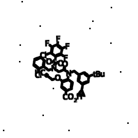 C#CCOc1cc(C(=O)O)ccc1N(Cc1cc(C2CC2)cc(C(C)(C)C)c1)C(=O)CN(Cc1ccccc1Cl)S(=O)(=O)c1c(F)c(F)c(F)c(F)c1Cl